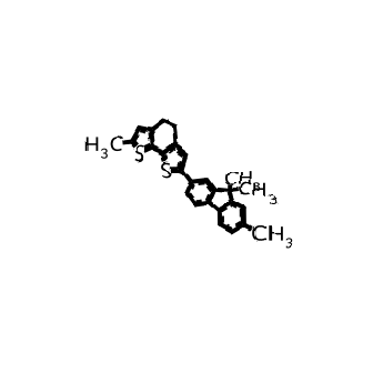 Cc1ccc2c(c1)C(C)(C)c1cc(-c3cc4c(s3)-c3sc(C)cc3CC4)ccc1-2